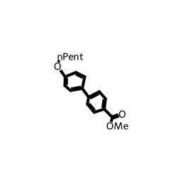 CCCCCOc1ccc(-c2ccc(C(=O)OC)cc2)cc1